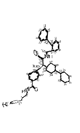 O=C(O)CCNC(=O)c1ccc(CC(C(=O)NCc2ccccc2-c2ccccc2)C2CCC(C3CCCCC3)CC2)cc1